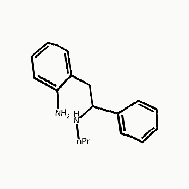 CCCNC(Cc1ccccc1N)c1ccccc1